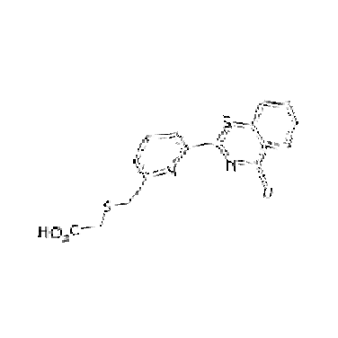 O=C(O)CSCc1cccc(-c2nc(=O)c3ccccc3s2)n1